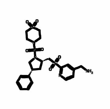 NCc1ccnc(S(=O)(=O)C[C@@H]2C[C@H](c3ccccc3)CN2S(=O)(=O)N2CCS(=O)(=O)CC2)c1